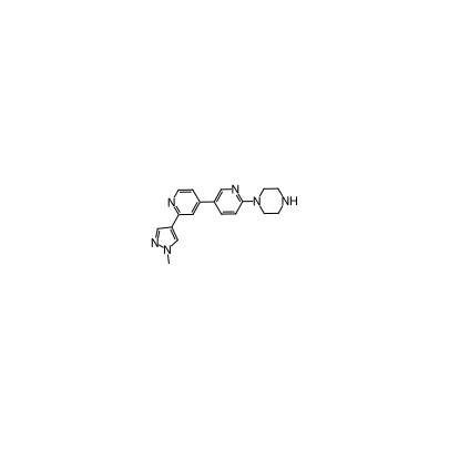 Cn1cc(-c2cc(-c3ccc(N4CCNCC4)nc3)ccn2)cn1